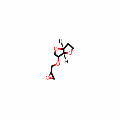 C1C[C@H]2OC[C@H](OCC3CO3)[C@H]2O1